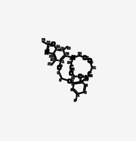 Cc1ccc2c(c1)OCCOc1c(c(C)c3oc(C)nc3c1C)N1CCOCCN2CCOCC1